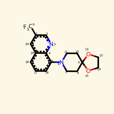 FC(F)(F)c1cnc2c(N3CCC4(CC3)OCCO4)cccc2c1